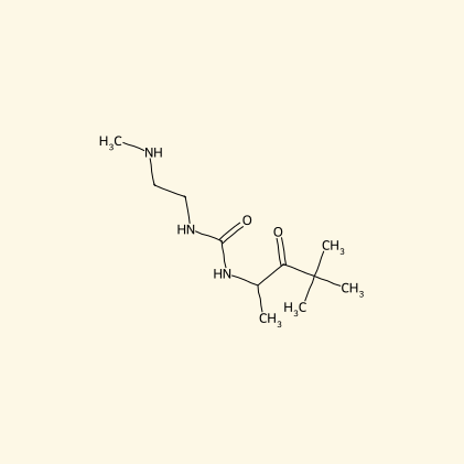 CNCCNC(=O)NC(C)C(=O)C(C)(C)C